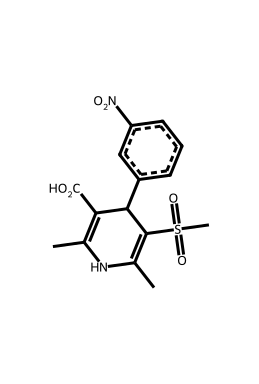 CC1=C(C(=O)O)C(c2cccc([N+](=O)[O-])c2)C(S(C)(=O)=O)=C(C)N1